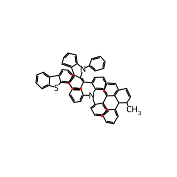 CC1C=Cc2cccc(-c3ccccc3N(c3cccc(-c4cccc5c4sc4ccccc45)c3)c3ccccc3-c3cccc4c5ccccc5n(-c5ccccc5)c34)c2C1c1ccccc1